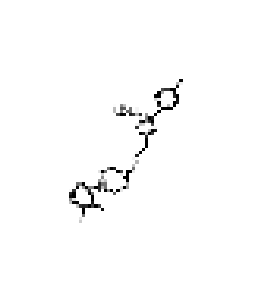 Cc1ccc(-c2cc(CCCN3CCN(c4cccc(C)c4C)CC3)nn2C(C)(C)C)cc1